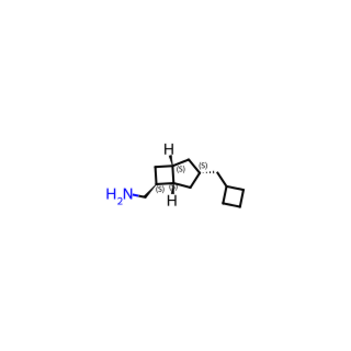 NC[C@H]1C[C@@H]2C[C@H](CC3CCC3)C[C@H]12